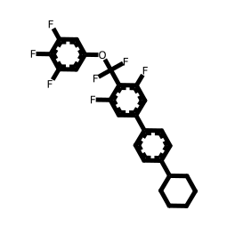 Fc1cc(OC(F)(F)c2c(F)cc(-c3ccc(C4CCCCC4)cc3)cc2F)cc(F)c1F